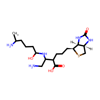 CC(N)CCCC(O)NC(CN)C(CCC[C@@H]1SC[C@@H]2NC(=O)N[C@@H]21)C(=O)O